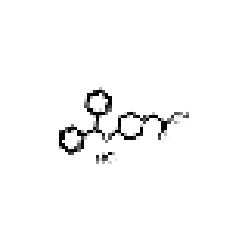 Cl.O=C(O)CN1CCC(OC(c2ccccc2)c2ccccc2)CC1